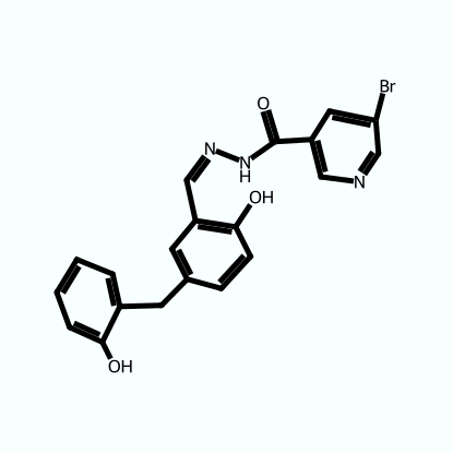 O=C(N/N=C\c1cc(Cc2ccccc2O)ccc1O)c1cncc(Br)c1